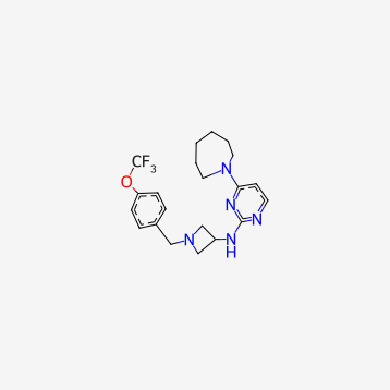 FC(F)(F)Oc1ccc(CN2CC(Nc3nccc(N4CCCCCC4)n3)C2)cc1